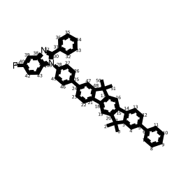 CC1(C)c2cc(-c3ccccc3)ccc2-c2cc3c(cc21)-c1ccc(-c2ccc(-n4c(-c5ccccc5)nc5cc(F)ccc54)cc2)cc1C3(C)C